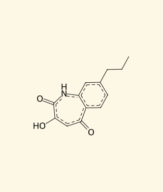 CCCc1ccc2c(=O)cc(O)c(=O)[nH]c2c1